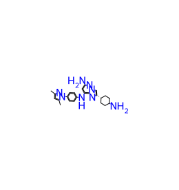 Cc1cc(C)n(-c2ccc(Nc3cc(N)nn4cc([C@H]5CC[C@H](N)CC5)nc34)cc2)n1